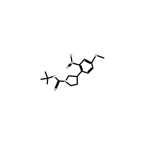 COc1ccc(C2CCN(C(=O)OC(C)(C)C)C2)c([N+](=O)[O-])c1